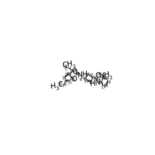 CCC[C@@H](OC(=O)NCc1ccc(C(=O)Nc2ccccc2N)cc1)c1ccc(CC)cc1